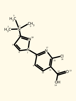 C[Si](C)(C)c1ccn(-c2ccc(C(=O)O)c(Cl)n2)n1